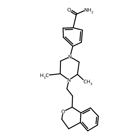 CC1CN(c2ccc(C(N)=O)cc2)CC(C)N1CCC1OCCc2ccccc21